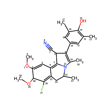 COC1=CC2=C3C(C#N)C(c4cc(C)c(O)c(C)c4)=C(C)N3C(C)CC2=C(F)C1OC